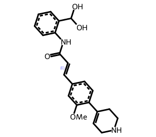 COc1cc(/C=C/C(=O)Nc2ccccc2C(O)O)ccc1C1=CCNCC1